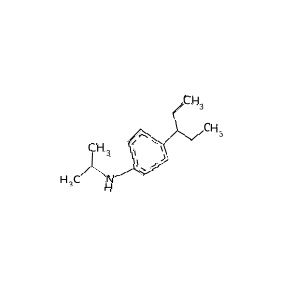 CCC(CC)c1ccc(NC(C)C)cc1